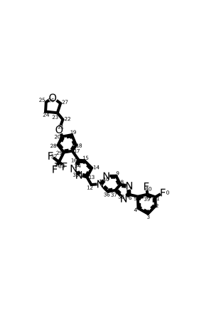 Fc1cccc(-c2nc3cnn(Cc4ccc(-c5ccc(OCC6CCOC6)cc5C(F)(F)F)nn4)cc-3n2)c1F